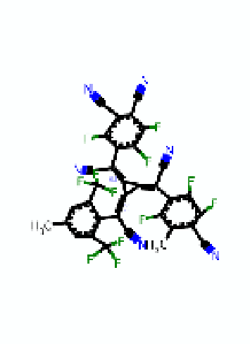 Cc1cc(C(F)(F)F)c(/C(C#N)=C2/C(=C(C#N)c3c(F)c(C)c(C#N)c(F)c3F)/C2=C(/C#N)c2c(F)c(F)c(C#N)c(C#N)c2F)c(C(F)(F)F)c1